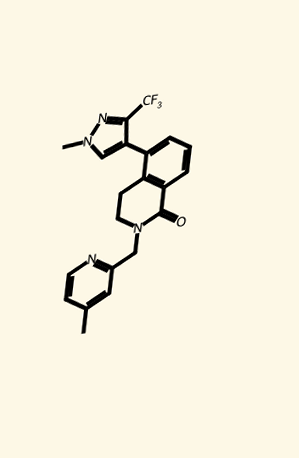 Cc1ccnc(CN2CCc3c(cccc3-c3cn(C)nc3C(F)(F)F)C2=O)c1